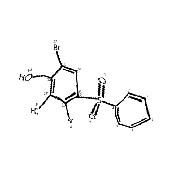 O=S(=O)(c1ccccc1)c1cc(Br)c(O)c(O)c1Br